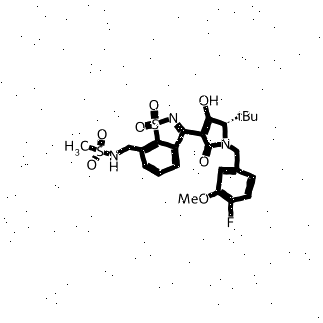 COc1cc(CN2C(=O)C(C3=NS(=O)(=O)c4c(CNS(C)(=O)=O)cccc43)=C(O)[C@@H]2C(C)(C)C)ccc1F